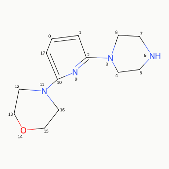 c1cc(N2CCNCC2)nc(N2CCOCC2)c1